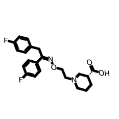 O=C(O)[C@@H]1CCCN(CCO/N=C(/Cc2ccc(F)cc2)c2ccc(F)cc2)C1